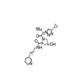 CC(C)(C)[C@@H](C(=O)N1C[C@H](O)C[C@H]1C(=O)NC/C=C/c1cccnc1)n1cc(C2CC2)nn1